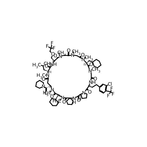 CC(C)C[C@H]1C(=O)N[C@@H](COCC(F)(F)F)C(=O)N(C)CC(=O)N(C)CC(=O)N(C)[C@@H](CC2CCCCC2)C(=O)N(C)CC(=O)N[C@@H](CCc2ccc(C(F)(F)F)c(Cl)c2)C(=O)N2CCC[C@H]2C(=O)NC2(CCCC2)C(=O)N(C)[C@@H](C2CCCCC2)C(=O)N(C)[C@H](C(=O)N2CCCCC2)CC(=O)N1C